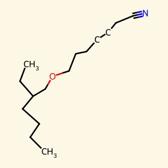 CCCCC(CC)COCCCCCCC#N